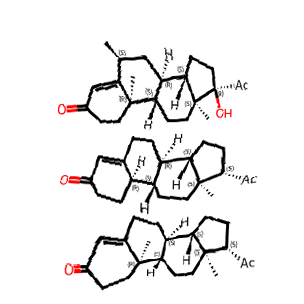 CC(=O)[C@@]1(O)CC[C@H]2[C@@H]3C[C@H](C)C4=CC(=O)CC[C@]4(C)[C@H]3CC[C@@]21C.CC(=O)[C@H]1CC[C@H]2[C@@H]3CCC4=CC(=O)CC[C@@H]4[C@H]3CC[C@]12C.CC(=O)[C@H]1CC[C@H]2[C@@H]3CCC4=CC(=O)CC[C@]4(C)[C@H]3CC[C@]12C